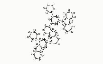 c1ccc(-c2nc(-c3cccc4c3sc3cccc(-c5nc(-c6ccccc6)c6oc7ccccc7c6n5)c34)nc(-n3c4ccccc4c4ccccc43)n2)cc1